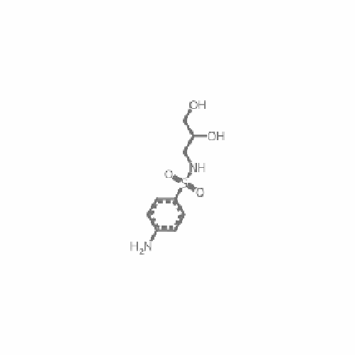 Nc1ccc(S(=O)(=O)NCC(O)CO)cc1